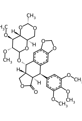 COc1cc([C@@H]2c3cc4c(cc3[C@@H](OC3O[C@@H]5CO[C@@H](C)O[C@H]5[C@H](OC)[C@H]3OC)[C@H]3COC(=O)[C@H]23)OCO4)cc(OC)c1OC